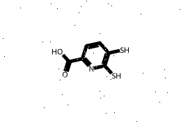 O=C(O)c1ccc(S)c(S)n1